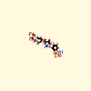 Cc1c(Oc2ccc(NS(C)(=O)=O)cc2F)ncnc1OC1CCN(OC(=O)OC(C)C)CC1